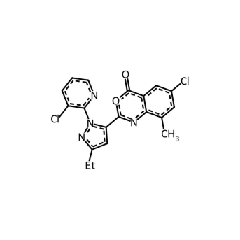 CCc1cc(-c2nc3c(C)cc(Cl)cc3c(=O)o2)n(-c2ncccc2Cl)n1